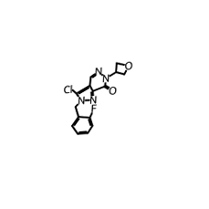 O=c1c2nn(Cc3ccccc3F)c(Cl)c2cnn1C1COC1